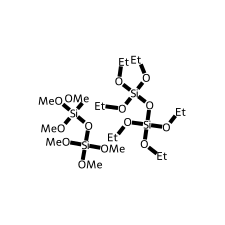 CCO[Si](OCC)(OCC)O[Si](OCC)(OCC)OCC.CO[Si](OC)(OC)O[Si](OC)(OC)OC